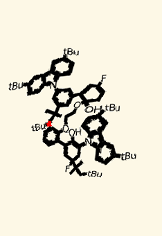 CC(C)(C)CC(C)(C)c1cc(C2=CC(F)=CCC2(O)OCCOc2c(F)cccc2C2=CC(F)(C(C)(C)CC(C)(C)C)CC(n3c4ccc(C(C)(C)C)cc4c4cc(C(C)(C)C)ccc43)=C2O)cc(-n2c3ccc(C(C)(C)C)cc3c3cc(C(C)(C)C)ccc32)c1